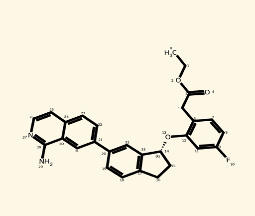 CCOC(=O)Cc1ccc(F)cc1O[C@@H]1CCc2ccc(-c3ccc4ccnc(N)c4c3)cc21